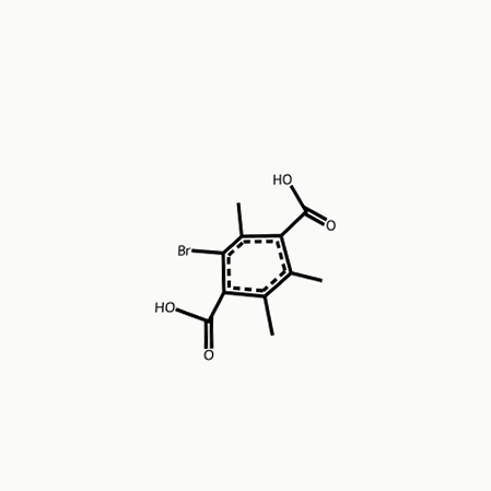 Cc1c(C)c(C(=O)O)c(Br)c(C)c1C(=O)O